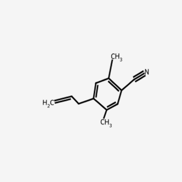 C=CCc1cc(C)c(C#N)cc1C